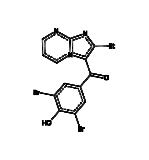 CCc1nc2ncccn2c1C(=O)c1cc(Br)c(O)c(Br)c1